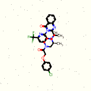 CC(C)Oc1ccc(C(F)(F)F)nc1-n1c(CN2CCN(C(=O)COc3ccc(Cl)cc3)C[C@@H]2C)nc2ccccc2c1=O